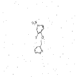 O=[N+]([O-])c1ccc(OCCc2ccccn2)c(F)c1